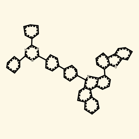 c1ccc(-c2nc(-c3ccccc3)nc(-c3ccc(-c4ccc(-c5nc6c(-c7cccc8c7oc7ccccc78)cccc6c6c5ccc5ccccc56)cc4)cc3)n2)cc1